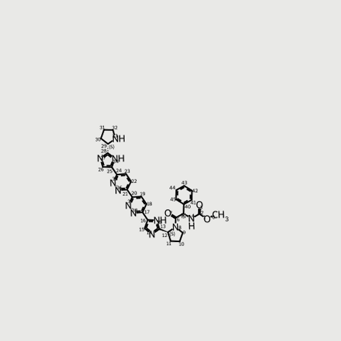 COC(=O)N[C@@H](C(=O)N1CCC[C@H]1c1ncc(-c2ccc(-c3ccc(-c4cnc([C@@H]5CCCN5)[nH]4)nn3)nn2)[nH]1)c1ccccc1